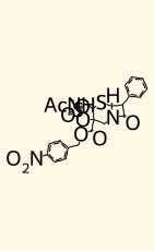 CC(=O)NC1S[C@@H]2C(c3ccccc3)C(=O)N2CC1(OS(C)(=O)=O)C(=O)OCc1ccc([N+](=O)[O-])cc1